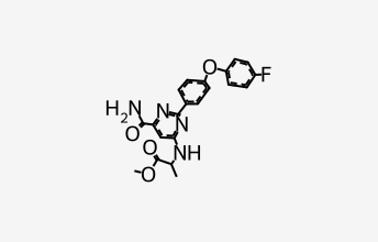 COC(=O)C(C)Nc1cc(C(N)=O)nc(-c2ccc(Oc3ccc(F)cc3)cc2)n1